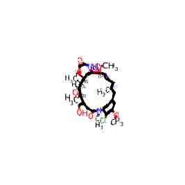 COc1cc2cc(c1Cl)N(C)C(=O)CC(CO)[C@]1(C)O[C@H]1[C@@H](C)[C@H]1C[C@](O)(NC3OC3O1)[C@@H](OC)/C=C/C=C(\C)C2